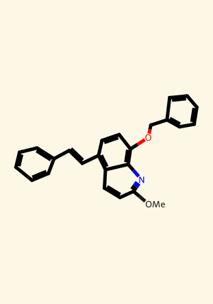 COc1ccc2c(C=Cc3ccccc3)ccc(OCc3ccccc3)c2n1